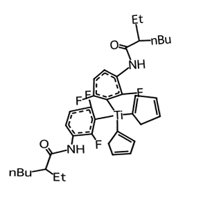 CCCCC(CC)C(=O)Nc1ccc(F)[c]([Ti]([C]2=CC=CC2)([C]2=CC=CC2)[c]2c(F)ccc(NC(=O)C(CC)CCCC)c2F)c1F